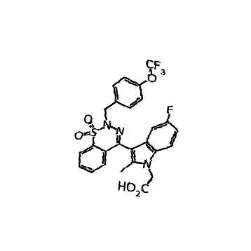 Cc1c(C2=NN(Cc3ccc(OC(F)(F)F)cc3)S(=O)(=O)c3ccccc32)c2cc(F)ccc2n1CC(=O)O